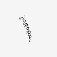 C=CCCOc1ccc(C(=O)Oc2ccc(-c3ccc(-c4ccc(C(O)CCC)cc4)c(F)c3F)cc2)c(F)c1